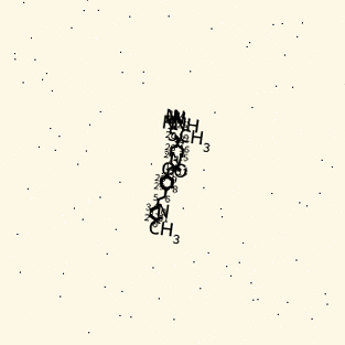 Cc1ccc(CCc2ccc(OC(=O)N3CCC(C(C)Sc4nnn[nH]4)CC3)cc2)nc1